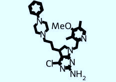 COc1c(C)cnc(CN2CC(CCCN3CCN(c4ccccc4)CC3)c3c(Cl)nc(N)nc32)c1C